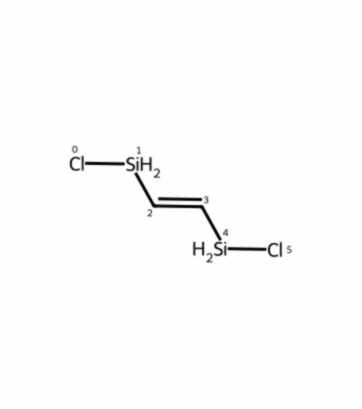 Cl[SiH2]C=C[SiH2]Cl